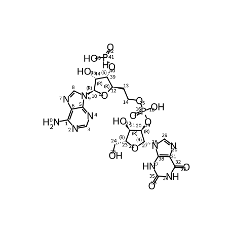 Nc1ncnc2c1ncn2[C@@H]1O[C@H](CCOP(=O)(O)O[C@@H]2[C@H](O)[C@@H](CO)O[C@H]2n2cnc3c(=O)[nH]c(=O)[nH]c32)[C@@H](O[PH](=O)O)[C@H]1O